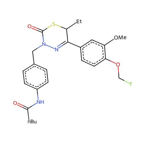 CCCCC(=O)Nc1ccc(CN2N=C(c3ccc(OCF)c(OC)c3)C(CC)SC2=O)cc1